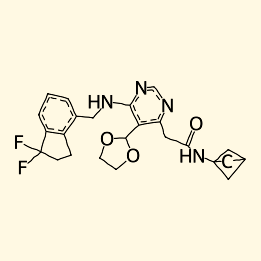 O=C(Cc1ncnc(NCc2cccc3c2CCC3(F)F)c1C1OCCO1)NC12CC(C1)C2